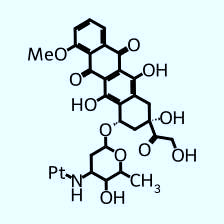 COc1cccc2c1C(=O)c1c(O)c3c(c(O)c1C2=O)C[C@@](O)(C(=O)CO)C[C@@H]3OC1CC([NH][Pt])C(O)C(C)O1